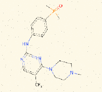 CN1CCN(c2nc(Nc3ccc(P(C)(C)=O)cc3)ncc2C(F)(F)F)CC1